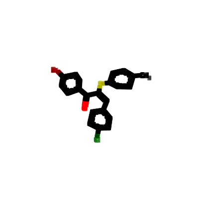 Cc1ccc(S/C(=C/c2ccc(Cl)cc2)C(=O)c2ccc(Br)cc2)cc1